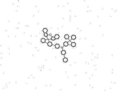 c1ccc(-c2ccc(N(c3ccc(-c4ccc5c(c4)C4(c6ccccc6-5)c5ccc6ccccc6c5Oc5c4ccc4ccccc54)cc3)c3ccc4c(c3)-c3ccccc3C4(c3ccccc3)c3ccccc3)cc2)cc1